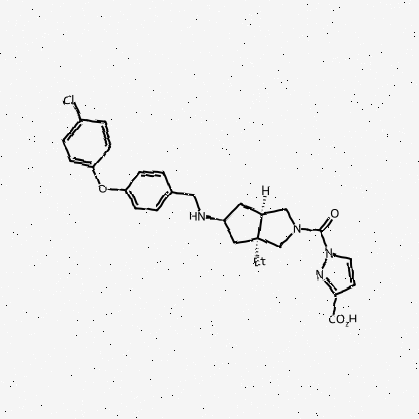 CC[C@]12C[C@@H](NCc3ccc(Oc4ccc(Cl)cc4)cc3)C[C@H]1CN(C(=O)n1ccc(C(=O)O)n1)C2